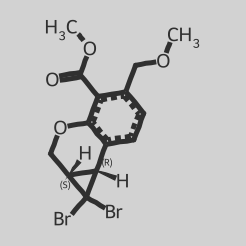 COCc1ccc2c(c1C(=O)OC)OC[C@@H]1[C@H]2C1(Br)Br